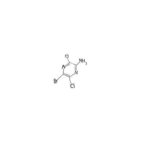 Nc1nc(Cl)c(Br)nc1Cl